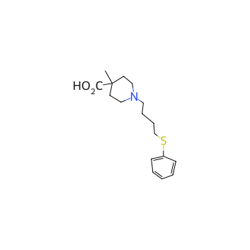 CC1(C(=O)O)CCN(CCCCSc2ccccc2)CC1